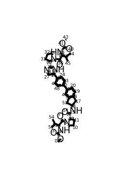 COC(=O)NC(C(=O)N1CCC[C@H]1C(=O)N[C@H]1Cc2ccc(-c3ccc(-c4cnc([C@@H]5CCCN5C(=O)[C@@H](NC(=O)OC)C(C)C)[nH]4)cc3)cc2C1)C(C)C